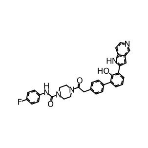 O=C(Cc1ccc(-c2cccc(-c3cc4cnccc4[nH]3)c2O)cc1)N1CCN(C(=O)Nc2ccc(F)cc2)CC1